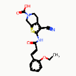 CCOc1ccccc1C=CC(=O)Nc1sc2c(c1C#N)CCN(C(=O)O)C2